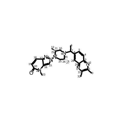 Cc1nc2ccc(C(C)N3C[C@H](C)N(n4cc5c(ccc(=O)n5C)n4)C[C@H]3C)cc2nc1C